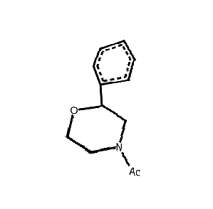 CC(=O)N1CCOC(c2ccccc2)C1